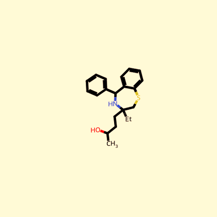 CCC1(CCC(C)O)CSc2ccccc2C(c2ccccc2)N1